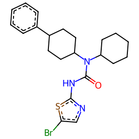 O=C(Nc1ncc(Br)s1)N(C1CCCCC1)C1CCC(c2ccccc2)CC1